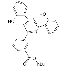 CCCCOC(=O)c1cccc(-c2nc(-c3ccccc3O)nc(-c3ccccc3O)n2)c1